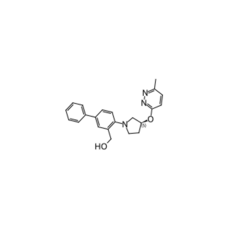 Cc1ccc(O[C@H]2CCN(c3ccc(-c4ccccc4)cc3CO)C2)nn1